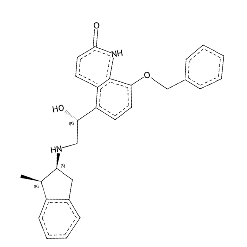 C[C@@H]1c2ccccc2C[C@@H]1NC[C@H](O)c1ccc(OCc2ccccc2)c2[nH]c(=O)ccc12